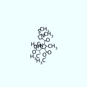 CCOC(=O)c1c(C)c(C(=O)c2ccc(SC)n2C)n(C)c1C(CC)C(=O)O